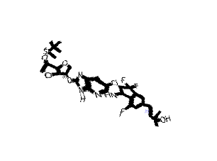 CC(C)(O)/C=C/c1cc(F)c2c(c1)C(F)(F)CC2Nc1nc2[nH]c(O[C@@H]3COC4C(O[Si](C)(C)C(C)(C)C)COC43)nc2cc1Cl